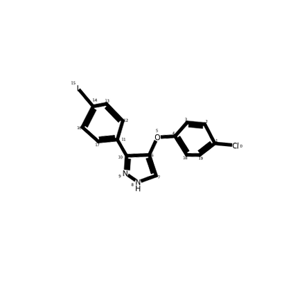 Clc1ccc(Oc2c[nH]nc2-c2ccc(I)cc2)cc1